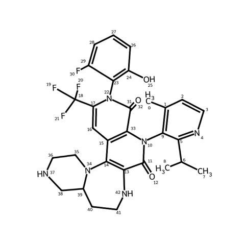 Cc1ccnc(C(C)C)c1-n1c(=O)c2c(c3cc(C(F)(F)F)n(-c4c(O)cccc4F)c(=O)c31)N1CCNCC1CCN2